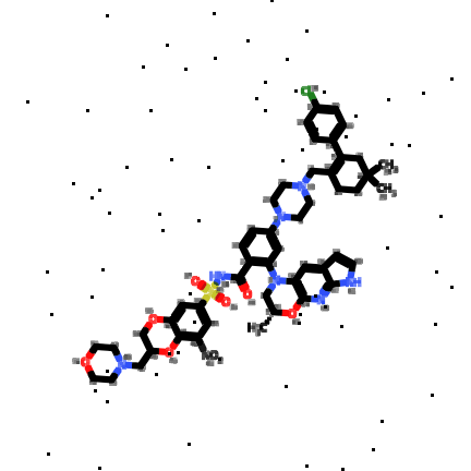 C[C@@H]1CN(c2cc(N3CCN(CC4=C(c5ccc(Cl)cc5)CC(C)(C)CC4)CC3)ccc2C(=O)NS(=O)(=O)c2cc3c(c([N+](=O)[O-])c2)OC(CN2CCOCC2)CO3)c2cc3cc[nH]c3nc2O1